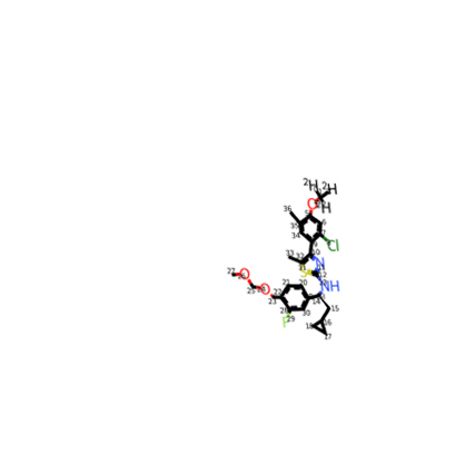 [2H]C([2H])([2H])Oc1cc(Cl)c(-c2nc(N[C@@H](CC3CC3)c3ccc(COCOC)c(F)c3)sc2C)cc1C